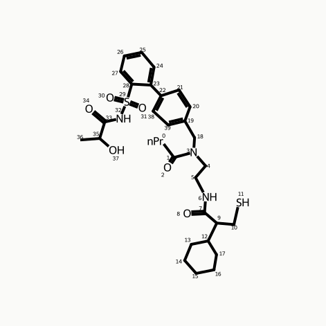 CCCC(=O)N(CCNC(=O)C(CS)C1CCCCC1)Cc1ccc(-c2ccccc2S(=O)(=O)NC(=O)C(C)O)cc1